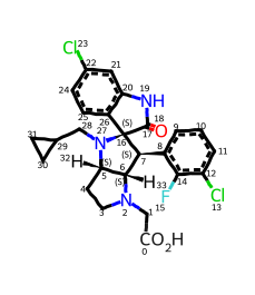 O=C(O)CN1CC[C@H]2[C@@H]1[C@H](c1cccc(Cl)c1F)[C@]1(C(=O)Nc3cc(Cl)ccc31)N2CC1CC1